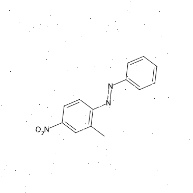 Cc1cc([N+](=O)[O-])ccc1/N=N/c1ccccc1